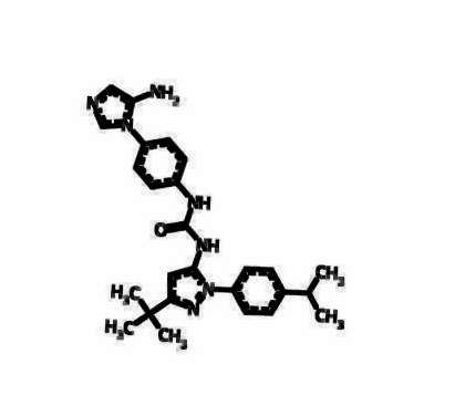 CC(C)c1ccc(-n2nc(C(C)(C)C)cc2NC(=O)Nc2ccc(-n3cncc3N)cc2)cc1